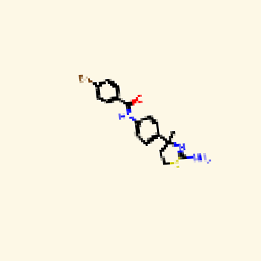 CC1(c2ccc(NC(=O)c3ccc(Br)cc3)cc2)CCSC(N)=N1